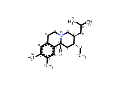 CC[C@@H]1C[C@@H]2c3cc(C)c(C)cc3CCN2C[C@H]1CC(C)C